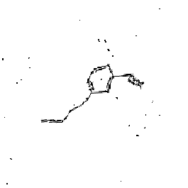 C=CCCc1cccc(C=C)c1